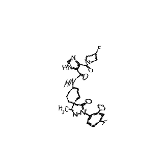 CC1=NN(c2ccc(F)cc2Cl)C(=O)[C@]12CC[C@H](NC(=O)c1[nH]cnc1C(=O)N1CC(F)C1)CC2